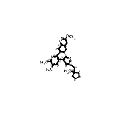 COc1cc2ccc(-c3nc(C)c(C)cc3-c3cnn(CC4(C)CCCC4)c3)cc2nn1